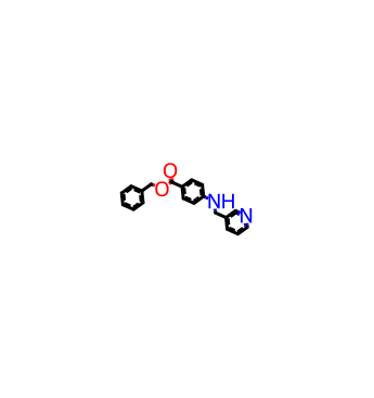 O=C(OCc1ccccc1)c1ccc(NCc2cccnc2)cc1